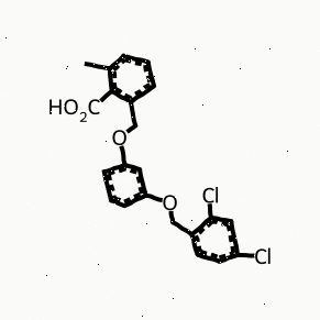 Cc1cccc(COc2cccc(OCc3ccc(Cl)cc3Cl)c2)c1C(=O)O